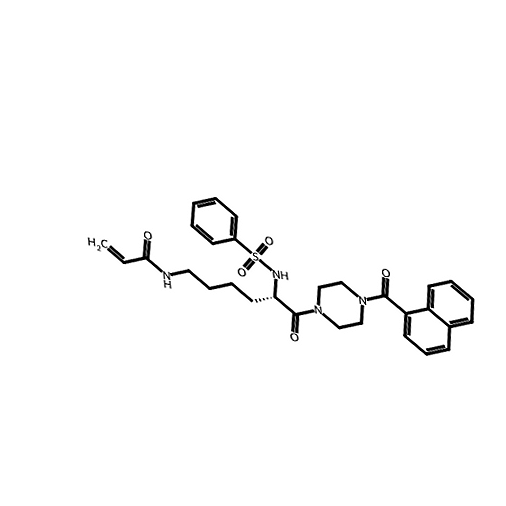 C=CC(=O)NCCCC[C@H](NS(=O)(=O)c1ccccc1)C(=O)N1CCN(C(=O)c2cccc3ccccc23)CC1